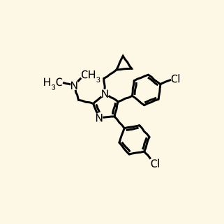 CN(C)Cc1nc(-c2ccc(Cl)cc2)c(-c2ccc(Cl)cc2)n1CC1CC1